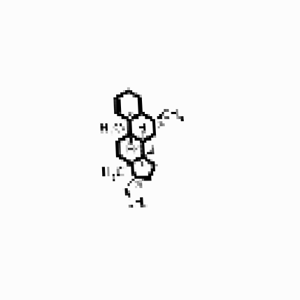 CC[C@H]1CC[C@H]2[C@@H]3C[C@H](C)C4=CCC=C[C@]4(C)[C@H]3CC[C@]12C